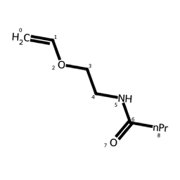 C=COCCNC(=O)CCC